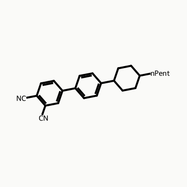 CCCCCC1CCC(c2ccc(-c3ccc(C#N)c(C#N)c3)cc2)CC1